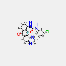 O=C(Nc1cccc(Cl)c1)Nc1cccc(C(=O)c2ccc3nccnc3c2)c1F